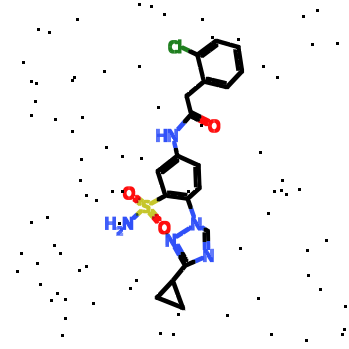 NS(=O)(=O)c1cc(NC(=O)Cc2ccccc2Cl)ccc1-n1cnc(C2CC2)n1